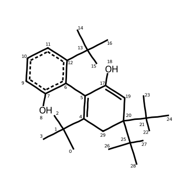 CC(C)(C)C1=C(c2c(O)cccc2C(C)(C)C)C(O)=CC(C(C)(C)C)(C(C)(C)C)C1